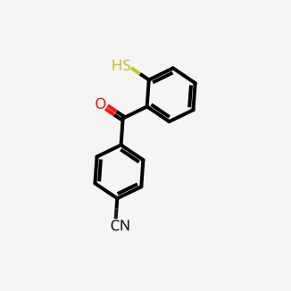 N#Cc1ccc(C(=O)c2ccccc2S)cc1